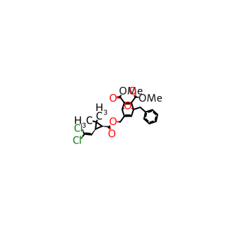 COC(=O)C1=C(C(=O)OC)C2(Cc3ccccc3)C=C(COC(=O)[C@H]3[C@@H](C=C(Cl)Cl)C3(C)C)C1O2